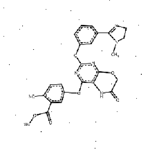 CN1CCN=C1c1cccc(Oc2nc3c(c(Oc4ccc(C#N)c(C(=O)OC(C)(C)C)c4)n2)NC(=O)CO3)c1